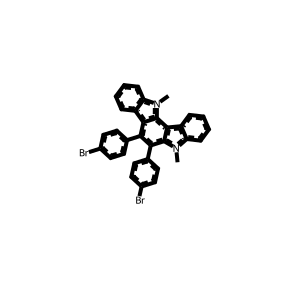 Cn1c2ccccc2c2c1c(-c1ccc(Br)cc1)c(-c1ccc(Br)cc1)c1c3ccccc3n(C)c12